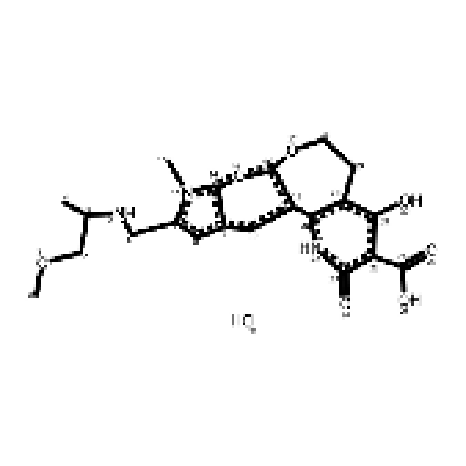 COCC(C)NCc1cc2cc3c(cc2n1C)OCCc1c-3[nH]c(=O)c(C(=O)O)c1O.Cl